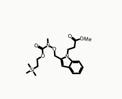 COC(=O)CCn1c(CON(C)C(=O)OCC[Si](C)(C)C)cc2ccccc21